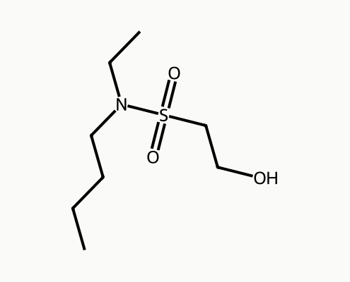 CCCCN(CC)S(=O)(=O)CCO